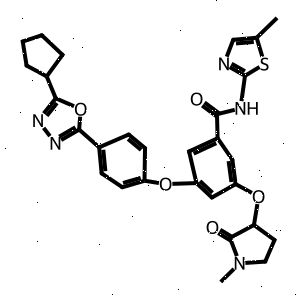 Cc1cnc(NC(=O)c2cc(Oc3ccc(-c4nnc(C5CCCC5)o4)cc3)cc(OC3CCN(C)C3=O)c2)s1